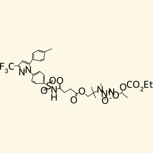 CCOC(=O)OC(C)O/N=[N+](\[O-])N(C)C(C)(C)COC(=O)CCC(=O)NS(=O)(=O)c1ccc(-n2nc(C(F)(F)F)cc2-c2ccc(C)cc2)cc1